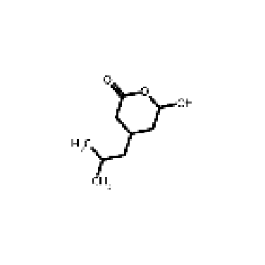 CC(C)CC1CC(=O)OC(O)C1